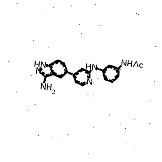 CC(=O)Nc1cccc(Nc2cc(-c3ccc4[nH]nc(N)c4c3)ccn2)c1